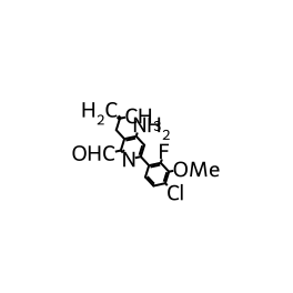 C=C(C)Cc1c(N)cc(-c2ccc(Cl)c(OC)c2F)nc1C=O